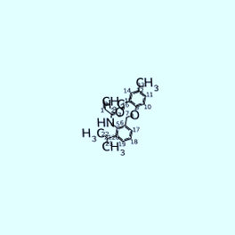 CCC(=O)Nc1c(COc2ccc(C)cc2C)cccc1C(C)C